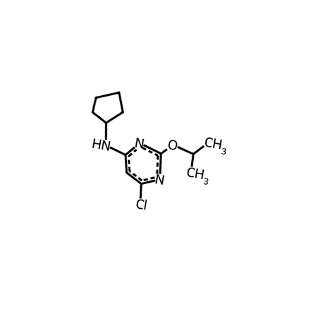 CC(C)Oc1nc(Cl)cc(NC2CCCC2)n1